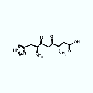 N[C@@H](CC(=O)O)C(=O)CC(=O)[C@@H](N)Cc1c[nH]cn1